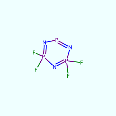 FP1(F)=NP=NP(F)(F)=N1